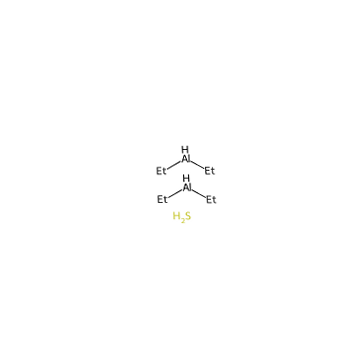 C[CH2][AlH][CH2]C.C[CH2][AlH][CH2]C.S